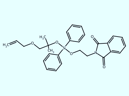 C=CCOCC(C)(C)O[Si](OCCN1C(=O)c2ccccc2C1=O)(c1ccccc1)c1ccccc1